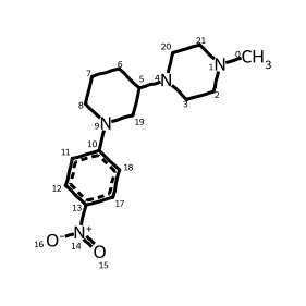 CN1CCN(C2CCCN(c3ccc([N+](=O)[O-])cc3)C2)CC1